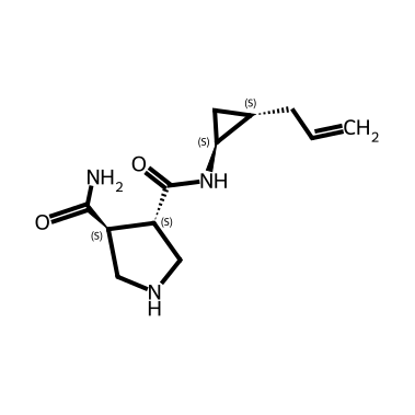 C=CC[C@H]1C[C@@H]1NC(=O)[C@@H]1CNC[C@H]1C(N)=O